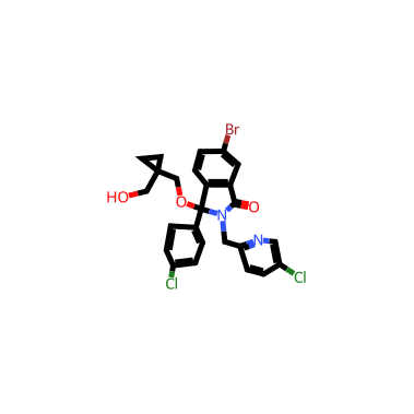 O=C1c2cc(Br)ccc2C(OCC2(CO)CC2)(c2ccc(Cl)cc2)N1Cc1ccc(Cl)cn1